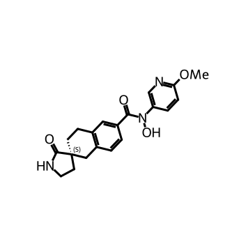 COc1ccc(N(O)C(=O)c2ccc3c(c2)CC[C@@]2(CCNC2=O)C3)cn1